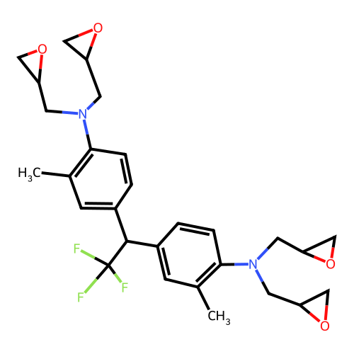 Cc1cc(C(c2ccc(N(CC3CO3)CC3CO3)c(C)c2)C(F)(F)F)ccc1N(CC1CO1)CC1CO1